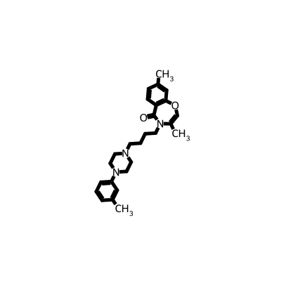 CC1=COc2cc(C)ccc2C(=O)N1CCCCN1CCN(c2cccc(C)c2)CC1